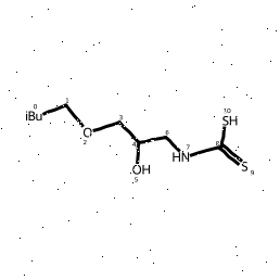 CCC(C)COCC(O)CNC(=S)S